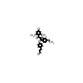 COc1ccc2c(Oc3ccc(/C=C/C=O)cc3)c(C(=O)c3c(C)cc(Cl)cc3C)sc2c1